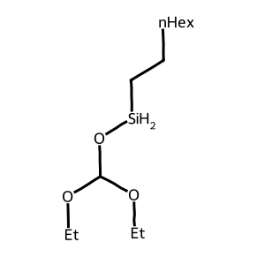 CCCCCCCC[SiH2]OC(OCC)OCC